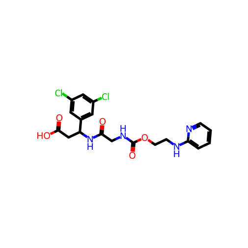 O=C(O)CC(NC(=O)CNC(=O)OCCNc1ccccn1)c1cc(Cl)cc(Cl)c1